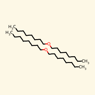 CCCCCCCCOCCCCCCCC.CCCCCCCCOCCCCCCCC